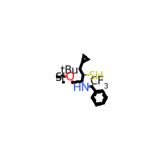 CC(C)(C)[Si](C)(C)OCC(N[C@@H](c1ccccc1)C(F)(F)F)[C@H](S)CC1CC1